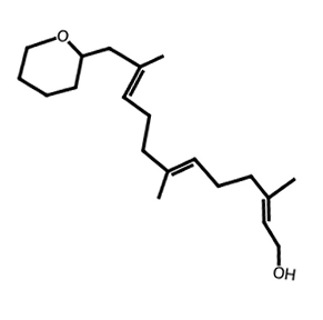 CC(=CCO)CCC=C(C)CCC=C(C)CC1CCCCO1